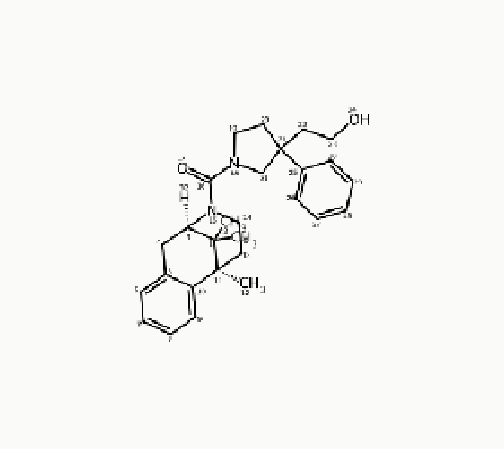 CC1(C)[C@H]2Cc3ccccc3[C@]1(C)CCN2C(=O)N1CCC(CCO)(c2ccccc2)C1